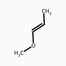 C/C=[C]/OC